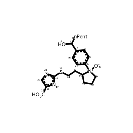 CCCCCC(O)c1ccc([N+]2([O-])CCCC2CCSc2nc(C(=O)O)cs2)cc1